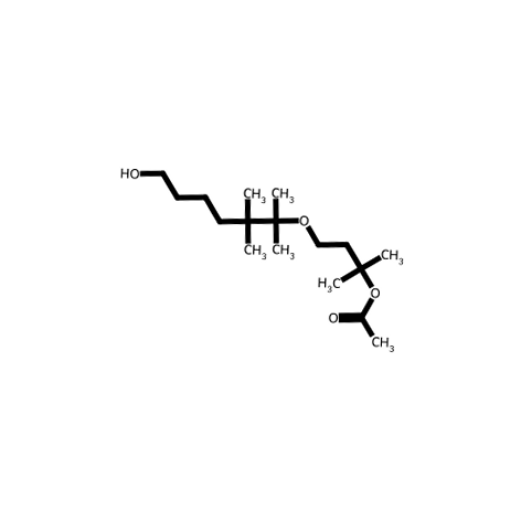 CC(=O)OC(C)(C)CCOC(C)(C)C(C)(C)CCCCO